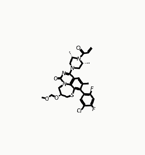 C=CC(=O)N1[C@H](C)CN(c2nc(=O)n3c4c(c(-c5cc(Cl)c(F)cc5F)c(C)cc24)SC[C@@H](OCOC)C3)C[C@@H]1C